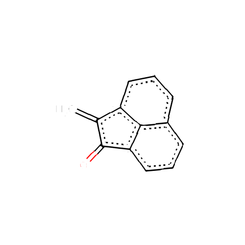 C=c1c(=O)c2cccc3cccc1c32